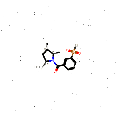 CCS(=O)(=O)c1cccc(C(=O)N2[C@@H](C(=O)O)C[C@@H](C)[C@H]2C)c1